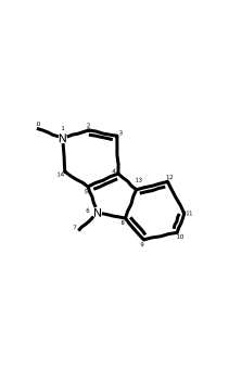 CN1C=Cc2c(n(C)c3ccccc23)C1